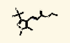 CCOC(=O)/C=C/c1c(C(F)(F)F)nn(C)c1C